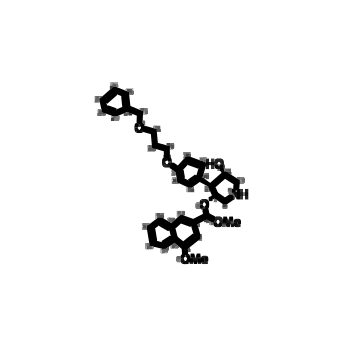 COc1cc(C(OC)O[C@H]2CNC[C@@H](O)[C@@H]2c2ccc(OCCCOCc3ccccc3)cc2)cc2ccccc12